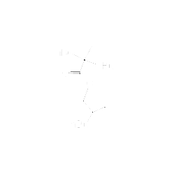 CCCCC(CC)COC(=O)C(C)(C(C)CC)C(C)(C)C